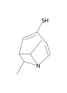 CC1C2C=C(S)C=CN1C2C